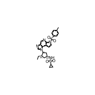 CC[C@@H]1C[C@H](NS(=O)(=O)C2CC2)C[C@@H]1n1cnc2cnc3c(ccn3S(=O)(=O)c3ccc(C)cc3)c21